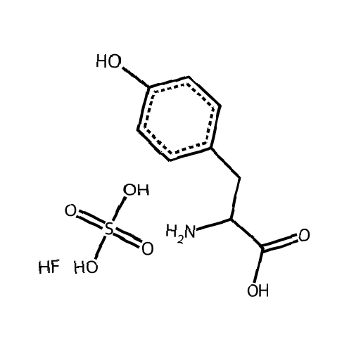 F.NC(Cc1ccc(O)cc1)C(=O)O.O=S(=O)(O)O